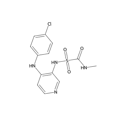 CNC(=O)S(=O)(=O)Nc1cnccc1Nc1ccc(Cl)cc1